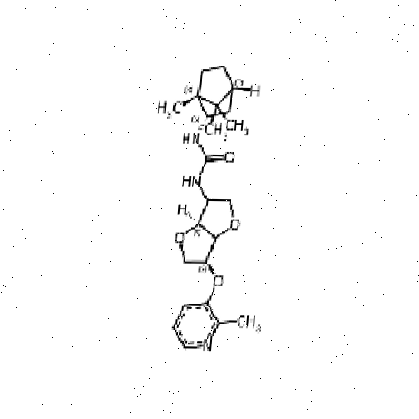 Cc1ncccc1O[C@H]1CO[C@H]2C(NC(=O)N[C@H]3C[C@H]4CC[C@]3(C)C4(C)C)COC21